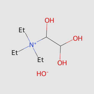 CC[N+](CC)(CC)C(O)C(O)O.[OH-]